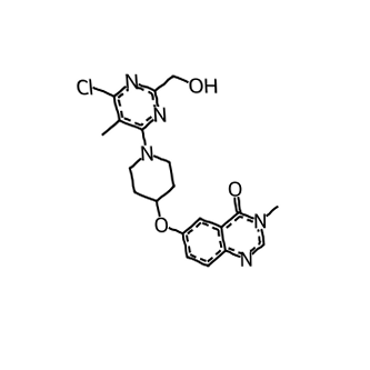 Cc1c(Cl)nc(CO)nc1N1CCC(Oc2ccc3ncn(C)c(=O)c3c2)CC1